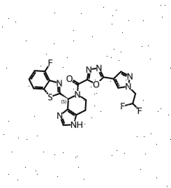 O=C(c1nnc(-c2cnn(CC(F)F)c2)o1)N1CCc2[nH]cnc2[C@H]1c1nc2c(F)cccc2s1